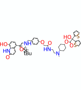 CN(CCNC(=O)COc1ccc(CNC[C@@H](O[Si](C)(C)C(C)(C)C)c2ccc(O)c3[nH]c(=O)ccc23)cc1)C1CCC(OC(=O)C(O)(c2cccs2)c2cccs2)CC1